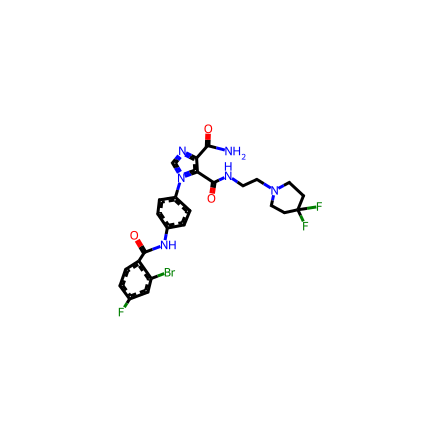 NC(=O)c1ncn(-c2ccc(NC(=O)c3ccc(F)cc3Br)cc2)c1C(=O)NCCN1CCC(F)(F)CC1